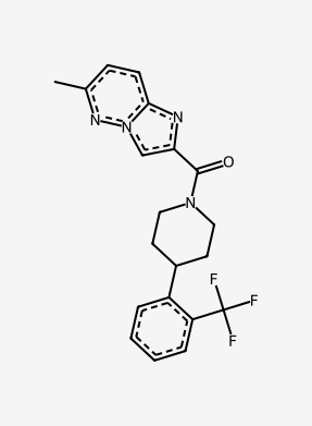 Cc1ccc2nc(C(=O)N3CCC(c4ccccc4C(F)(F)F)CC3)cn2n1